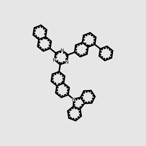 c1ccc(-c2cccc3cc(-c4nc(-c5ccc6ccccc6c5)nc(-c5ccc6ccc(-n7c8ccccc8c8ccccc87)cc6c5)n4)ccc23)cc1